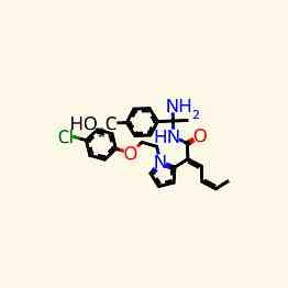 C/C=C\C=C(\C(=O)NC(C)(N)c1ccc(C(=O)O)cc1)c1cccn1CCOc1ccc(Cl)cc1